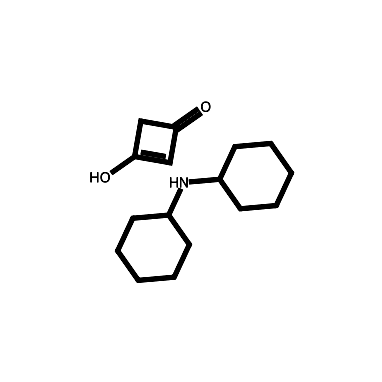 C1CCC(NC2CCCCC2)CC1.O=C1C=C(O)C1